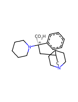 O=C(O)[C@@](CC1CN2CCC1CC2)(c1ccccc1)N1CCCCC1